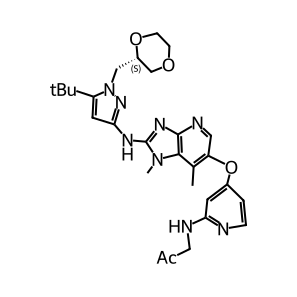 CC(=O)CNc1cc(Oc2cnc3nc(Nc4cc(C(C)(C)C)n(C[C@H]5COCCO5)n4)n(C)c3c2C)ccn1